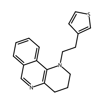 c1ccc2c3c(ncc2c1)CCCN3CCc1ccsc1